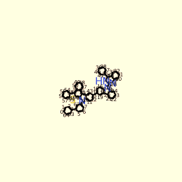 c1ccc(-c2cccc(-n3c4ccc(-c5ccc6c(c5)c5ccccc5n6C5=Nc6ccccc6C(c6ccccc6)N5)cc4c4c5ccccc5c5c6ccccc6sc5c43)c2)cc1